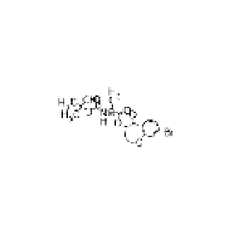 C[C@H](NC(=O)OC(C)(C)C)C(=O)OC1CCOc2cc(Br)ccc2C1=O